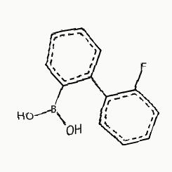 OB(O)c1ccccc1-c1ccccc1F